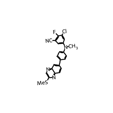 CSc1cnc2cc(-c3ccc(N(C)c4cc(Cl)c(F)c(C#N)c4)cc3)ccc2n1